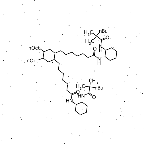 CCCCCCCCC1CC(CCCCCCC(=O)N[C@H]2CCCC[C@@H]2NC(=O)C(C)(C)CCCC)C(CCCCCCC(=O)N[C@@H]2CCCC[C@H]2NC(=O)C(C)(C)CCCC)CC1CCCCCCCC